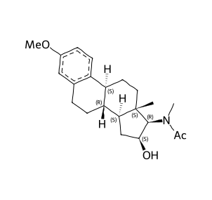 COc1ccc2c(c1)CC[C@@H]1[C@@H]2CC[C@]2(C)[C@@H](N(C)C(C)=O)[C@@H](O)C[C@@H]12